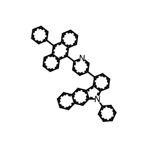 c1ccc(-c2c3ccccc3c(-c3ccc(-c4cccc5c4c4cc6ccccc6cc4n5-c4ccccc4)cn3)c3ccccc23)cc1